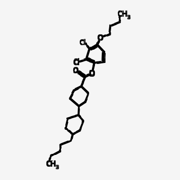 CCCCCC1CCC(C2CCC(C(=O)Oc3ccc(OCCCC)c(Cl)c3Cl)CC2)CC1